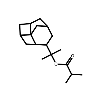 CC(C)C(=O)OC(C)(C)C12CC3CC4CC(C1)C4(C3)C2